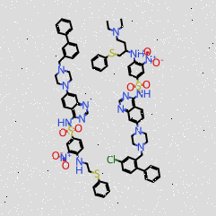 CCN(CC)CCC(CSc1ccccc1)Nc1ccc(S(=O)(=O)Nc2ncnc3cc(N4CCN(Cc5cc(Cl)ccc5-c5ccccc5)CC4)ccc23)cc1[N+](=O)[O-].O=[N+]([O-])c1cc(S(=O)(=O)Nc2ncnc3cc(N4CCN(Cc5cccc(-c6ccccc6)c5)CC4)ccc23)ccc1NCCSc1ccccc1